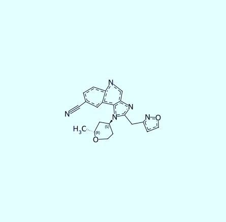 C[C@@H]1C[C@@H](n2c(Cc3ccon3)nc3cnc4ccc(C#N)cc4c32)CCO1